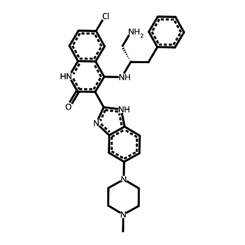 CN1CCN(c2ccc3[nH]c(-c4c(N[C@H](CN)Cc5ccccc5)c5cc(Cl)ccc5[nH]c4=O)nc3c2)CC1